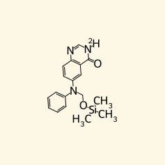 [2H]n1cnc2ccc(N(CO[Si](C)(C)C)c3ccccc3)cc2c1=O